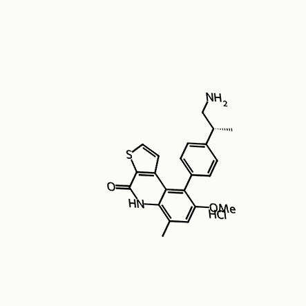 COc1cc(C)c2[nH]c(=O)c3sccc3c2c1-c1ccc([C@@H](C)CN)cc1.Cl